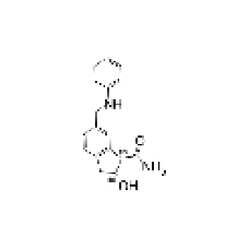 NC(=O)[C@@H]1c2cc(CNc3ccccc3)ccc2C[C@H]1O